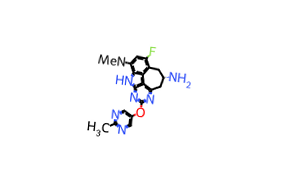 CNc1cc(F)c2c3c1[nH]c1nc(Oc4cnc(C)nc4)nc(c13)C[C@@H](N)C2